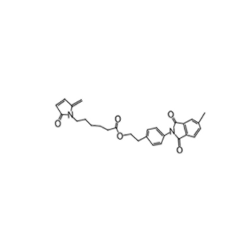 C=C1C=CC(=O)N1CCCCCC(=O)OCCc1ccc(N2C(=O)c3ccc(C)cc3C2=O)cc1